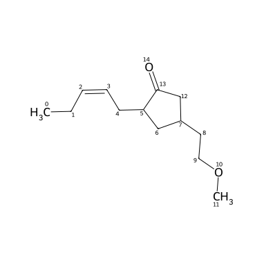 CC/C=C\CC1CC(CCOC)CC1=O